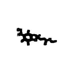 CCOC(=O)/C=C/C1(C)Cc2c(C)c(NC=O)c(C)c(C)c2O1